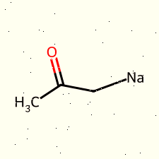 CC(=O)[CH2][Na]